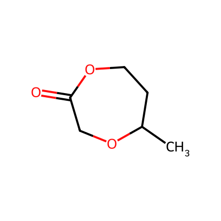 CC1CCOC(=O)CO1